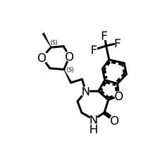 C[C@H]1CO[C@@H](CCN2CCNC(=O)c3oc4ccc(C(F)(F)F)cc4c32)CO1